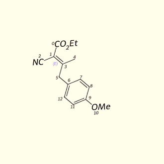 CCOC(=O)/C(C#N)=C(\C)Cc1ccc(OC)cc1